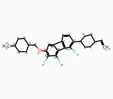 C=CC1CCC(c2ccc3c(c2F)-c2c-3cc(OCC3CCC(C)CC3)c(F)c2F)CC1